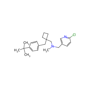 CN(Cc1ccc(Cl)nc1)CC1(Cc2ccc(C(C)(C)C)cc2)CCC1